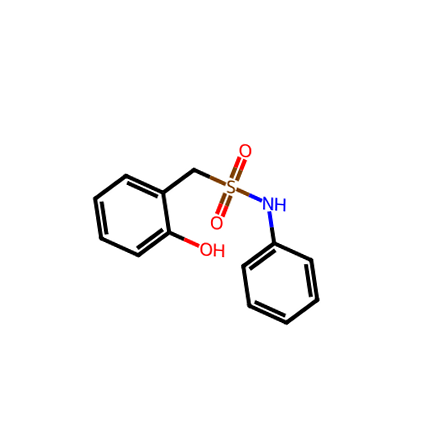 O=S(=O)(Cc1ccccc1O)Nc1ccccc1